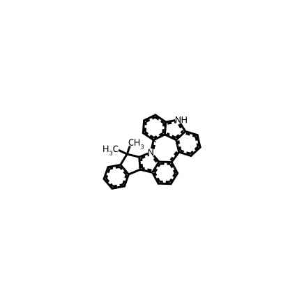 CC1(C)c2ccccc2-c2c1n1c3cccc4[nH]c5cccc(c6cccc2c61)c5c43